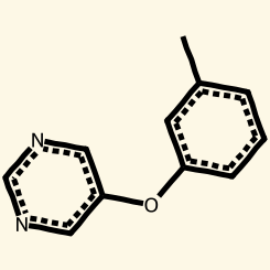 Cc1cccc(Oc2cncnc2)c1